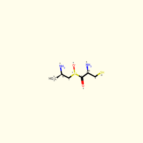 N[C@@H](C[S+]([O-])C(=O)[C@@H](N)CS)C(=O)O